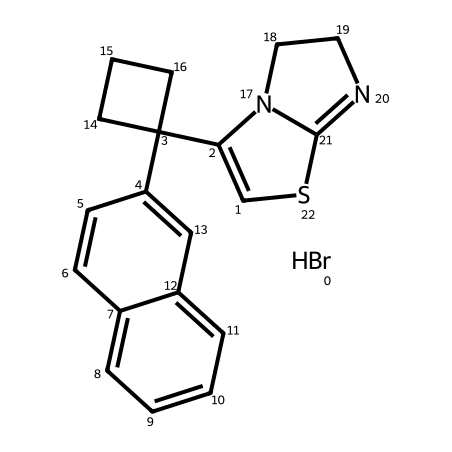 Br.C1=C(C2(c3ccc4ccccc4c3)CCC2)N2CCN=C2S1